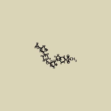 CS(=O)(=O)c1ccc2c(c1)CCN2c1cc(OC2CCN(c3nc(C4CC4)no3)CC2)ncn1